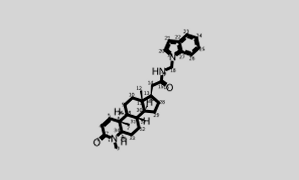 CN1C(=O)C=C[C@]2(C)[C@H]3CC[C@]4(C)[C@@H](CC(=O)NCn5ccc6ccccc65)CC[C@H]4[C@@H]3CC[C@@H]12